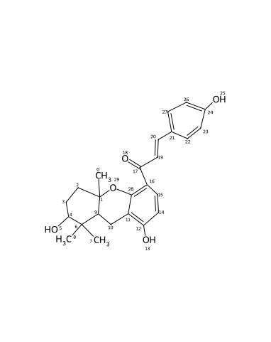 CC12CCC(O)C(C)(C)C1Cc1c(O)ccc(C(=O)/C=C/c3ccc(O)cc3)c1O2